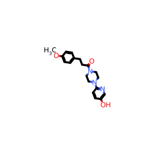 COc1ccc(CCC(=O)N2CCN(c3ccc(O)cn3)CC2)cc1